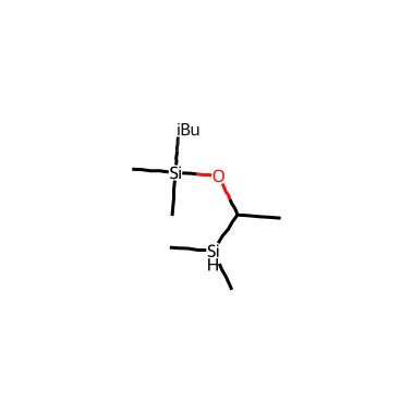 CCC(C)[Si](C)(C)OC(C)[SiH](C)C